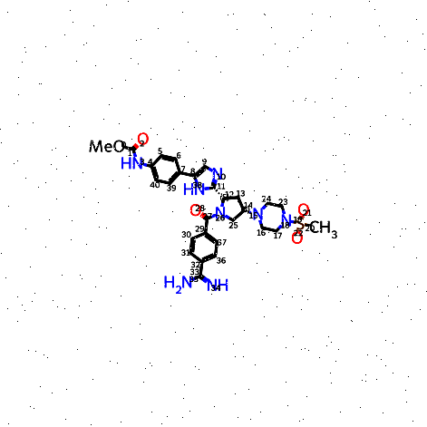 COC(=O)Nc1ccc(-c2cnc([C@@H]3C[C@H](N4CCN(S(C)(=O)=O)CC4)CN3C(=O)c3ccc(C(=N)N)cc3)[nH]2)cc1